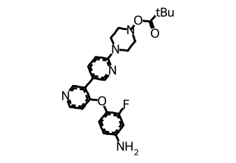 CC(C)(C)C(=O)ON1CCN(c2ccc(-c3cnccc3Oc3ccc(N)cc3F)cn2)CC1